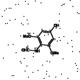 COc1cc(O)cc(OC)c1N[C]=O